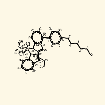 CCCCCCc1ccc(-c2cccc3c2C=C(CCC)[CH]3[Zr]([Cl])([Cl])([CH]2C=Cc3ccccc32)[SiH](C)C)cc1